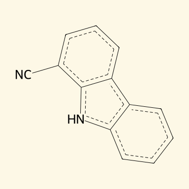 N#Cc1cccc2c1[nH]c1ccccc12